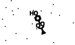 Oc1ccc(C2OCC(C3CC3)CO2)cc1